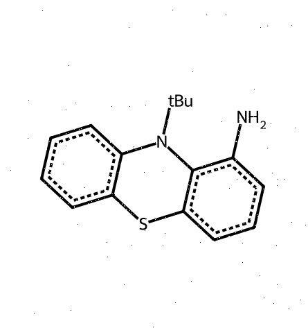 CC(C)(C)N1c2ccccc2Sc2cccc(N)c21